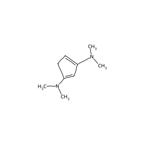 CN(C)C1=CCC(N(C)C)=C1